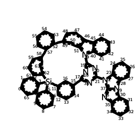 c1ccc([Si]2(c3ccccc3)c3cccc(c3)-c3nc(nc(-n4c5ccccc5n5c6ccccc6nc45)n3)-n3c4ccccc4c4ccc(cc43)-c3ccccc3-c3cccc2c3)cc1